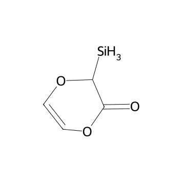 O=C1OC=COC1[SiH3]